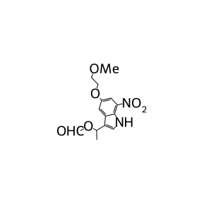 COCCOc1cc([N+](=O)[O-])c2[nH]cc(C(C)OC=O)c2c1